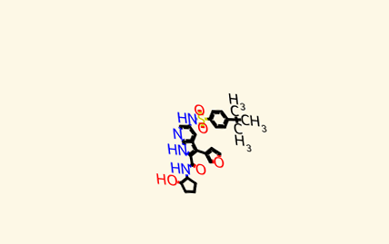 CC(C)(C)c1ccc(S(=O)(=O)Nc2cnc3[nH]c(C(=O)NC4CCCC4O)c(-c4ccoc4)c3c2)cc1